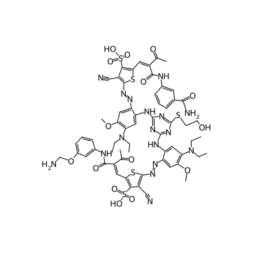 CCN(CC)c1cc(Nc2nc(Nc3cc(N(CC)CC)c(OC)cc3/N=N/c3sc(/C=C(\C(C)=O)C(=O)Nc4cccc(OCN)c4)c(S(=O)(=O)O)c3C#N)nc(SCCO)n2)c(/N=N/c2sc(/C=C(/C(C)=O)C(=O)Nc3cccc(C(N)=O)c3)c(S(=O)(=O)O)c2C#N)cc1OC